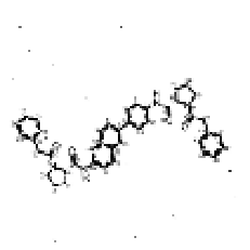 O=C(Nc1ccc(-c2ccc3cc(NC(=O)[C@@H]4CCCN4C(=O)Cc4ccccc4)ccc3c2)cc1)[C@@H]1CCCN1C(=O)Cc1ccccc1